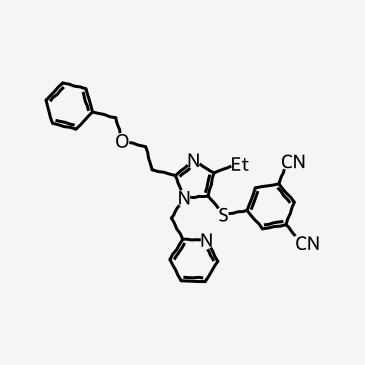 CCc1nc(CCOCc2ccccc2)n(Cc2ccccn2)c1Sc1cc(C#N)cc(C#N)c1